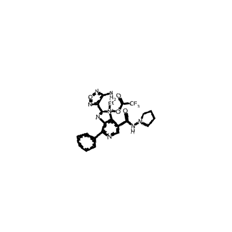 CC[N+]1(OC(=O)C(F)(F)F)C(c2nonc2N)=Nc2c(-c3ccccc3)ncc(C(=O)NN3CCCC3)c21